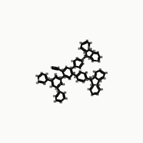 N#Cc1cc(-c2ccc(-n3c4ccccc4c4ccccc43)cc2)c(-c2ccc(-n3c4ccccc4c4ccccc43)cc2)cc1-c1nc(-c2ccccc2)nc(-c2ccccc2)n1